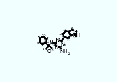 Nc1nc(NC2(c3ccccc3)COC2)nc(-c2ccc3cn[nH]c3c2)n1